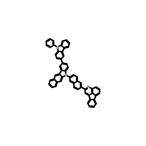 c1ccc(-n2c3ccccc3c3cc(-c4ccc5c(c4)c4cc6ccccc6cc4n5-c4ccc5cc(-c6cc7c8c(cccc8n6)-c6ccccc6-7)ccc5c4)ccc32)cc1